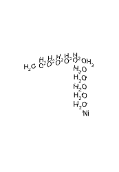 O.O.O.O.O.O.O.O.O.O.O.O.[Ni]